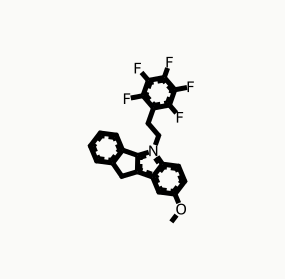 COc1ccc2c(c1)c1c(n2CCc2c(F)c(F)c(F)c(F)c2F)-c2ccccc2C1